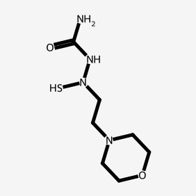 NC(=O)NN(S)CCN1CCOCC1